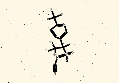 [3H]C([3H])([3H])C(C)(c1ccc(C(F)(F)F)nc1)S(C)(=O)=NC#N